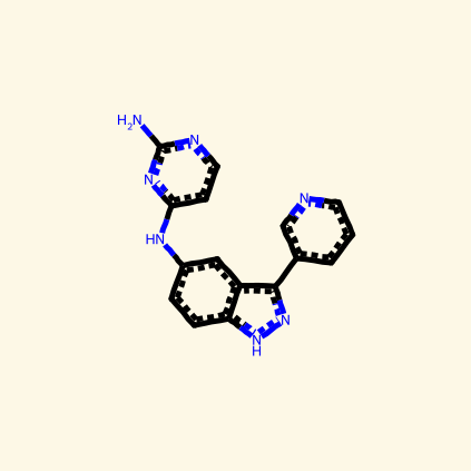 Nc1nccc(Nc2ccc3[nH]nc(-c4cccnc4)c3c2)n1